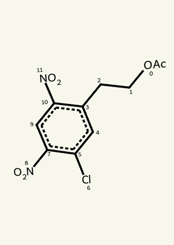 CC(=O)OCCc1cc(Cl)c([N+](=O)[O-])cc1[N+](=O)[O-]